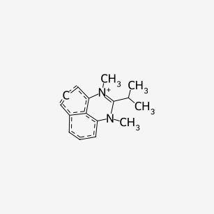 CC(C)C1=[N+](C)c2cccc3cccc(c23)N1C